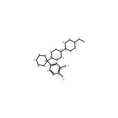 CCC1CCC(C2CCC(C3(c4ccc(F)c(F)c4)CCCCC3)CC2)CC1